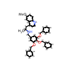 COc1ccc2nccc(CC(C)NCc3cc(OCc4ccccc4)c(OCc4ccccc4)c(OCc4ccccc4)c3)c2c1